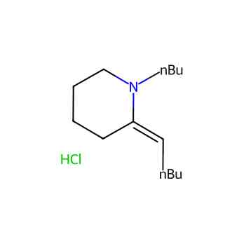 CCCCC=C1CCCCN1CCCC.Cl